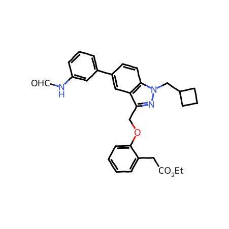 CCOC(=O)Cc1ccccc1OCc1nn(CC2CCC2)c2ccc(-c3cccc(NC=O)c3)cc12